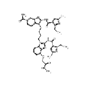 CCn1nc(C)cc1C(=O)Nc1nc2cc(C(N)=O)ccc2n1CCCCn1c(NC(=O)c2cc(C)nn2CC)nc2c(OCC(=O)NC)cccc21